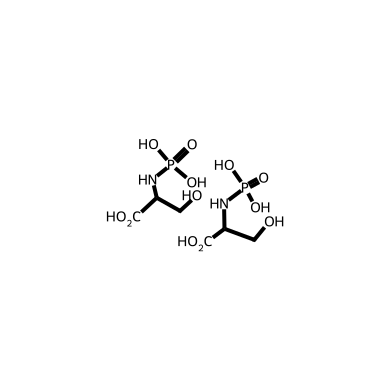 O=C(O)C(CO)NP(=O)(O)O.O=C(O)C(CO)NP(=O)(O)O